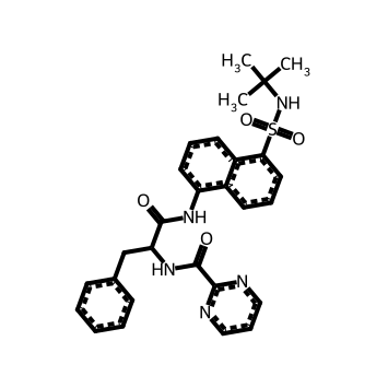 CC(C)(C)NS(=O)(=O)c1cccc2c(NC(=O)C(Cc3ccccc3)NC(=O)c3ncccn3)cccc12